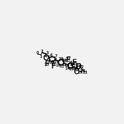 CC/C=C\Oc1ccc(-c2ccc(-c3ccc(C4OCC(C)CO4)c(F)c3F)cc2)c(F)c1F